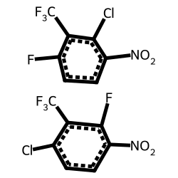 O=[N+]([O-])c1ccc(Cl)c(C(F)(F)F)c1F.O=[N+]([O-])c1ccc(F)c(C(F)(F)F)c1Cl